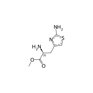 COC(=O)[C@@H](N)Cc1csc(N)n1